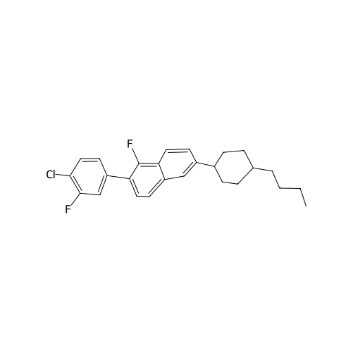 CCCCC1CCC(c2ccc3c(F)c(-c4ccc(Cl)c(F)c4)ccc3c2)CC1